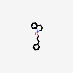 c1ccc(CCCON2CCCc3ccccc32)cc1